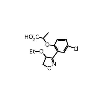 CCOC1CON=C1c1cc(Cl)ccc1OC(C)C(=O)O